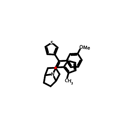 COc1cccc(C(=C2CC3CCC(C2)N3Cc2sccc2C)c2ccsc2)c1